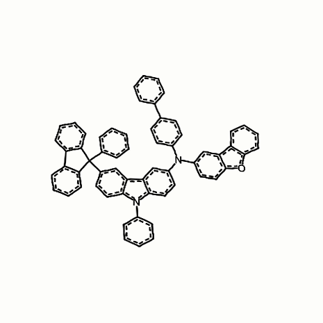 c1ccc(-c2ccc(N(c3ccc4oc5ccccc5c4c3)c3ccc4c(c3)c3cc(C5(c6ccccc6)c6ccccc6-c6ccccc65)ccc3n4-c3ccccc3)cc2)cc1